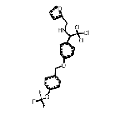 FC(F)(F)Oc1ccc(COc2ccc(C(NCc3ccco3)C(Cl)(Cl)Cl)cc2)cc1